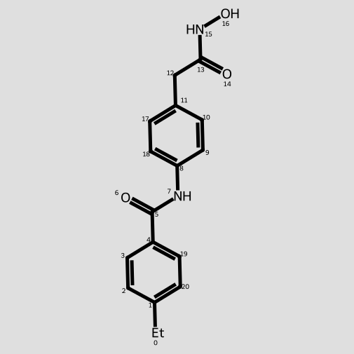 CCc1ccc(C(=O)Nc2ccc(CC(=O)NO)cc2)cc1